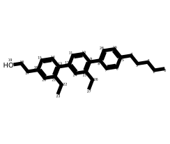 CCCCCc1ccc(-c2ccc(-c3ccc(CCO)cc3CC)cc2CC)cc1